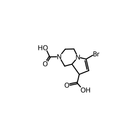 O=C(O)C1C=C(Br)N2CCN(C(=O)O)CC12